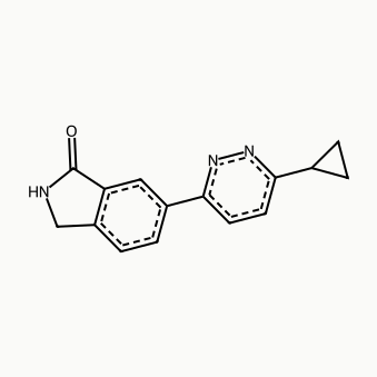 O=C1NCc2ccc(-c3ccc(C4CC4)nn3)cc21